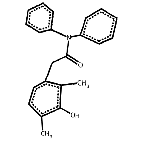 Cc1ccc(CC(=O)N(c2ccccc2)c2ccccc2)c(C)c1O